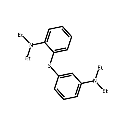 CCN(CC)c1cccc(Sc2ccccc2N(CC)CC)c1